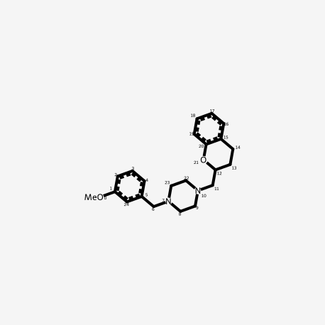 COc1cccc(CN2CCN(CC3CCc4ccccc4O3)CC2)c1